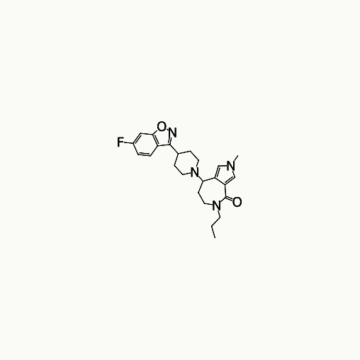 CCCN1CCC(N2CCC(c3noc4cc(F)ccc34)CC2)c2cn(C)cc2C1=O